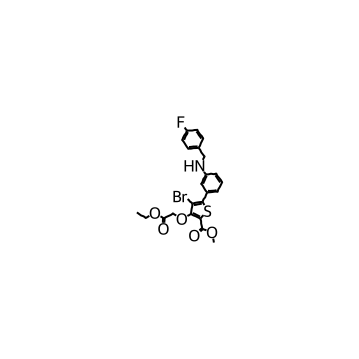 CCOC(=O)COc1c(C(=O)OC)sc(-c2cccc(NCc3ccc(F)cc3)c2)c1Br